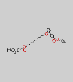 CCC(C)COC(=O)c1ccc(-c2ccccc2OCCCCCCCCCCCCOC(=O)CCC(=O)O)cc1